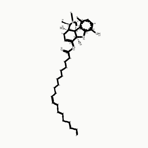 CCCCCCCC/C=C\CCCCCCCCCC(=O)OC1=CC[C@@]2(O)[C@@H](C)N(C)CC[C@@]23c2c(C)ccc(O)c2O[C@@H]13